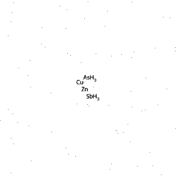 [AsH3].[Cu].[SbH3].[Zn]